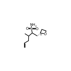 C=CCC(C)C(C[C@@H]1CCO1)S(N)(=O)=O